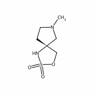 CN1CC[C@]2(COS(=O)(=O)N2)C1